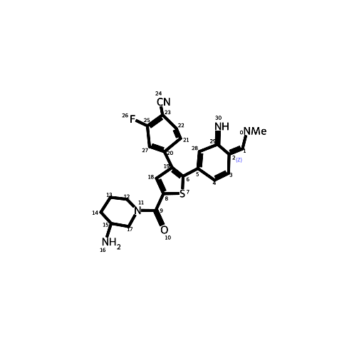 CN/C=C1/C=CC(c2sc(C(=O)N3CCCC(N)C3)cc2-c2ccc(C#N)c(F)c2)=CC1=N